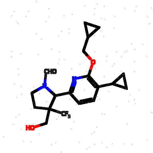 O=CN1CCC(CO)(C(F)(F)F)C1c1ccc(C2CC2)c(OCC2CC2)n1